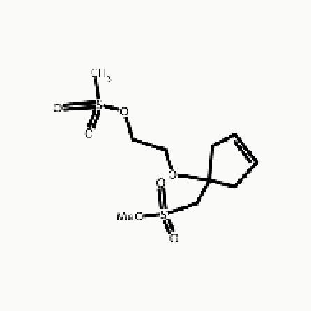 COS(=O)(=O)CC1(OCCOS(C)(=O)=O)CC=CC1